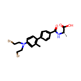 Cc1cc(N(CCBr)CCBr)ccc1-c1ccc(C(=O)N[C@@H](C)C(=O)O)cc1